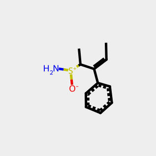 CC=C(c1ccccc1)C(C)[S+](N)[O-]